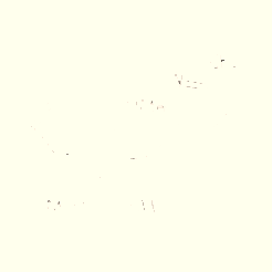 COc1c(C)c(Cc2ccc(C(F)(F)F)nc2)c(OC)c2ccccc12